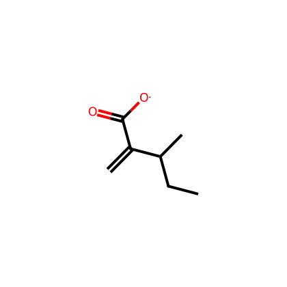 C=C(C([O])=O)C(C)CC